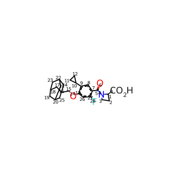 O=C(O)C1CCN1C(=O)c1cc(C2CC2)c(OCC23CC4CC(CC(C4)C2)C3)cc1F